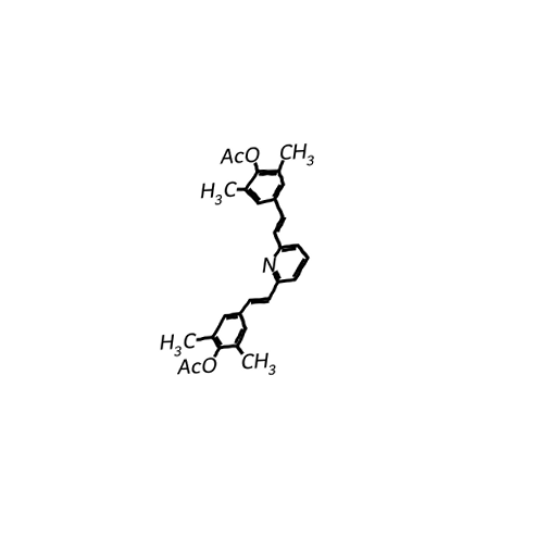 CC(=O)Oc1c(C)cc(C=Cc2cccc(C=Cc3cc(C)c(OC(C)=O)c(C)c3)n2)cc1C